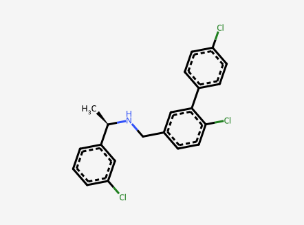 C[C@@H](NCc1ccc(Cl)c(-c2ccc(Cl)cc2)c1)c1cccc(Cl)c1